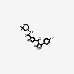 Cc1onc(-c2ccc(Br)cc2)c1C(=O)c1c[nH]c(C(=O)NC2CCOC(C)(C)C2)c1